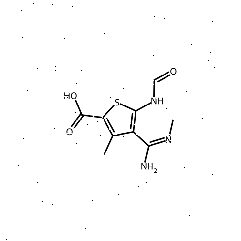 C/N=C(/N)c1c(NC=O)sc(C(=O)O)c1C